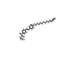 CN(C(=O)OC(C)(C)C)c1ccc(/C=C/c2ccc(OCCCCCCCCCCN=[N+]=[N-])nc2)cc1